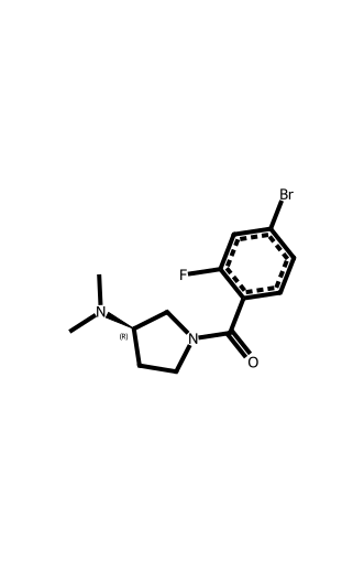 CN(C)[C@@H]1CCN(C(=O)c2ccc(Br)cc2F)C1